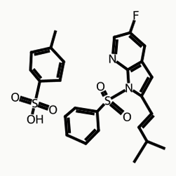 CC(C)C=Cc1cc2cc(F)cnc2n1S(=O)(=O)c1ccccc1.Cc1ccc(S(=O)(=O)O)cc1